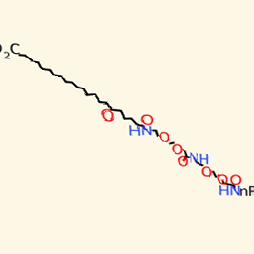 CCCNC(=O)COCCOCCNC(=O)COCCOCCNC(=O)CCCCC(=O)CCCCCCCCCCCCCCCCC(=O)O